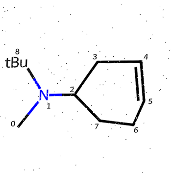 CN(C1CC=CCC1)C(C)(C)C